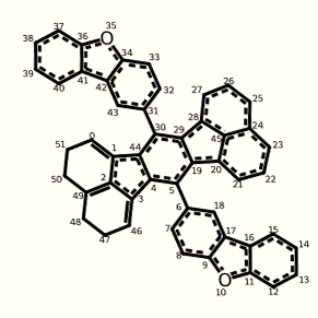 C1=c2c3c(c4c(-c5ccc6oc7ccccc7c6c5)c5c6cccc7cccc(c5c(-c5ccc8oc9ccccc9c8c5)c24)c76)=CCCC=3CC1